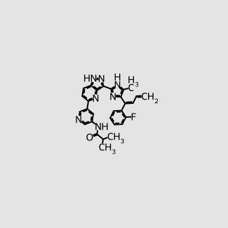 C=C/C=C(/c1ccccc1F)c1nc(-c2n[nH]c3ccc(-c4cncc(NC(=O)C(C)C)c4)nc23)[nH]c1C